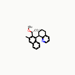 Cc1cc2ccccc2c(C2CCCc3cccnc32)c1[C@H](OC(C)(C)C)C(=O)O